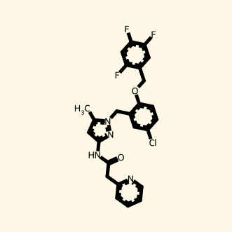 Cc1cc(NC(=O)Cc2ccccn2)nn1Cc1cc(Cl)ccc1OCc1cc(F)c(F)cc1F